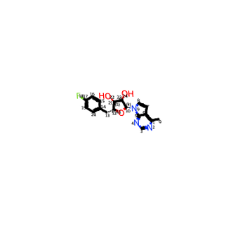 Cc1ncnc2c1ccn2[C@@H]1O[C@H](Cc2ccc(F)cc2)[C@@H](O)[C@H]1O